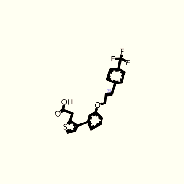 O=C(O)Cc1sccc1-c1cccc(OC/C=C/c2ccc(C(F)(F)F)cc2)c1